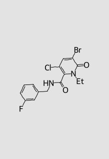 CCn1c(C(=O)NCc2cccc(F)c2)c(Cl)cc(Br)c1=O